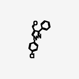 O=Cc1cn(-c2ccc(Cl)cc2)nc1-c1ccccc1